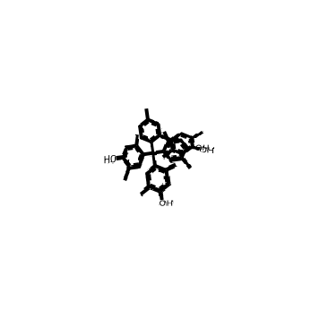 Cc1ccc(C(c2cc(C)c(O)cc2C)(c2cc(C)c(O)cc2C)c2cc(C)c(O)cc2C)c(-c2cc(C)c(O)cc2C)c1